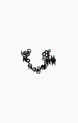 C#Cc1c(F)ccc2cccc(-c3c(F)cc4c(N5C[C@H]6CC[C@@H](C5)N6)nc(OC[C@@]56CCCN5[C@H](COC(=O)N5CCC(CN7CCC(c8ccc9c(C%10CCC(=O)NC%10=O)nn(C)c9c8)CC7)CC5)CC6)nc4c3F)c12